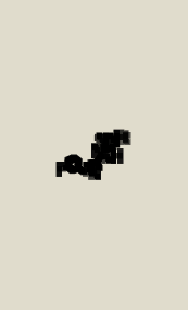 CCN1Cc2[nH]c(-c3cnn(Cc4cccc(F)c4)c3)nc2N(C)C1